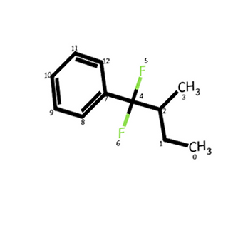 CCC(C)C(F)(F)c1ccccc1